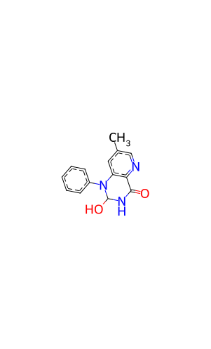 Cc1cnc2c(c1)N(c1ccccc1)C(O)NC2=O